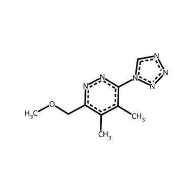 COCc1nnc(-n2cnnn2)c(C)c1C